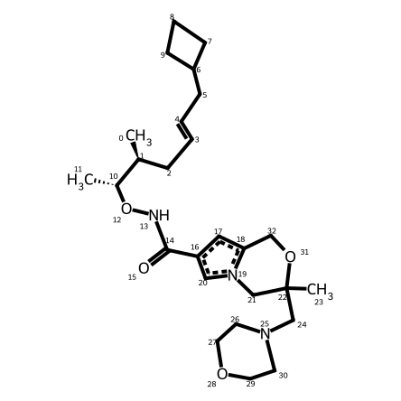 C[C@@H](C/C=C/CC1CCC1)[C@@H](C)ONC(=O)c1cc2n(c1)CC(C)(CN1CCOCC1)OC2